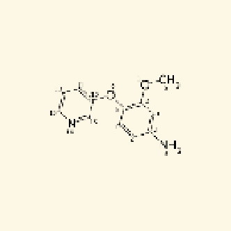 COc1cc(N)ccc1Oc1cccnc1